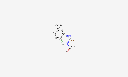 O=C1CSC(Nc2cc(C(=O)O)ccc2Cl)=N1